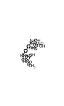 COC(=O)N[C@@H](Cc1c[nH]cn1)C(=O)N1CCC[C@H]1c1ncc(-c2ccc(-c3ccc(-c4cnc([C@@H]5CCCN5C(=O)[C@H](Cc5c[nH]cn5)NC(=O)O)[nH]4)cc3)cc2)[nH]1